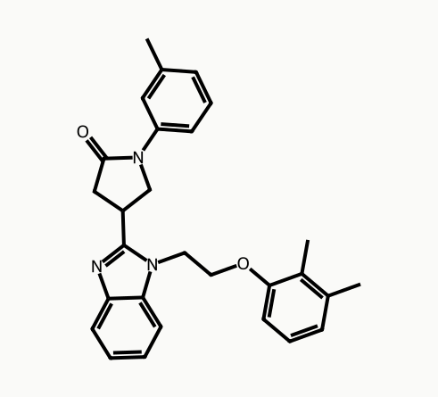 Cc1cccc(N2CC(c3nc4ccccc4n3CCOc3cccc(C)c3C)CC2=O)c1